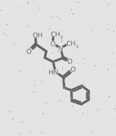 CON(C)C(=O)C(CCC(=O)O)NC(=O)Cc1ccccc1